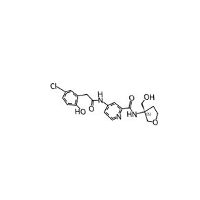 O=C(Cc1cc(Cl)ccc1O)Nc1ccnc(C(=O)N[C@]2(CO)CCOC2)c1